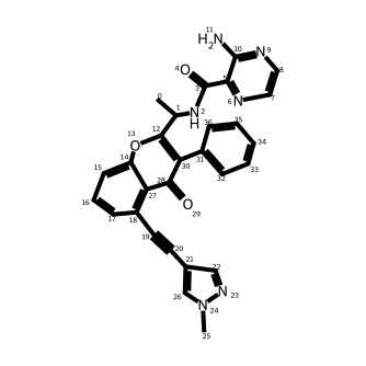 CC(NC(=O)c1nccnc1N)c1oc2cccc(C#Cc3cnn(C)c3)c2c(=O)c1-c1ccccc1